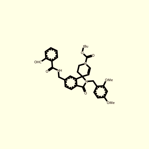 COc1ccc(CN2C(=O)c3ccc(CNC(=O)c4ccccc4C=O)cc3C23C=CN(C(=O)OC(C)(C)C)CC3)c(OC)c1